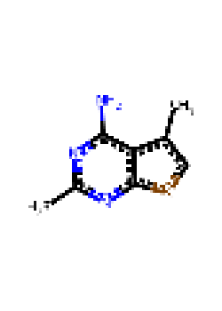 Bc1nc(N)c2c(C)csc2n1